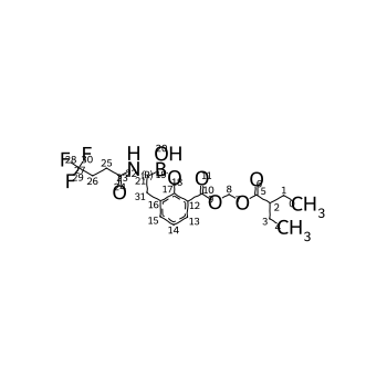 CCC(CC)C(=O)OCOC(=O)c1cccc2c1OB(O)[C@@H](NC(=O)CCC(F)(F)F)C2